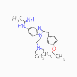 CCOc1ccc(Cc2nc3cc(NC(C)=N)ccc3n2CCN(CC)CC)cc1